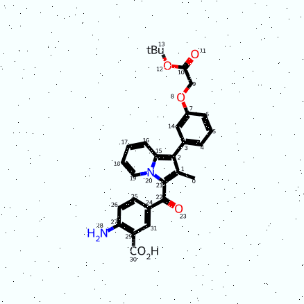 Cc1c(-c2cccc(OCC(=O)OC(C)(C)C)c2)c2ccccn2c1C(=O)c1ccc(N)c(C(=O)O)c1